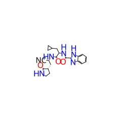 N#C[C@H](C[C@@H]1CCNC1=O)NC(=O)C(CC1CC1)NC(=O)c1nc2ccccc2[nH]1